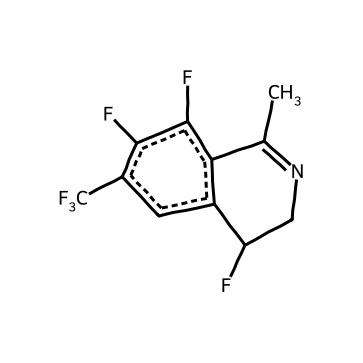 CC1=NCC(F)c2cc(C(F)(F)F)c(F)c(F)c21